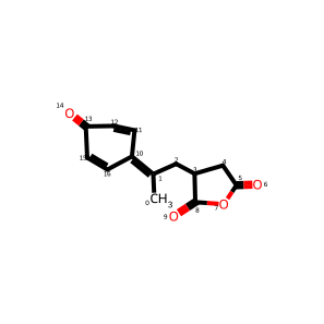 CC(CC1CC(=O)OC1=O)=C1C=CC(=O)C=C1